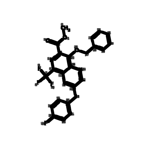 COC(=O)c1nc(C(F)(F)F)c2cc(Cc3ccc(F)cc3)cnc2c1OCc1ccccc1